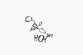 CC(O)=[SH]C1CCC(NC(=O)OCc2ccccc2)C1